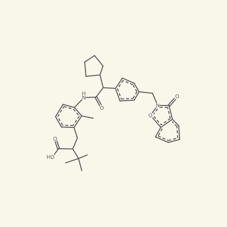 Cc1c(CC(C(=O)O)C(C)(C)C)cccc1NC(=O)C(c1ccc(Cn2oc3ccccc3c2=O)cc1)C1CCCC1